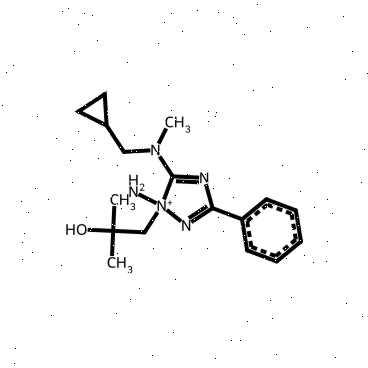 CN(CC1CC1)C1=NC(c2ccccc2)=N[N+]1(N)CC(C)(C)O